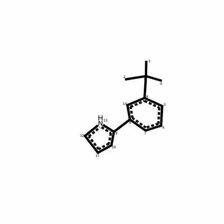 CC(C)(C)c1cccc(-c2ccc[nH]2)c1